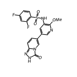 COc1ncc(-c2ccc3n[nH]c(=O)n3c2)cc1NS(=O)(=O)c1ccc(F)cc1F